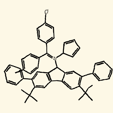 Cc1ccc([C](c2ccc(Cl)cc2)=[Zr]([CH]2C=CC=C2)[CH]2c3cc(-c4ccccc4)c(C(C)(C)C)cc3-c3cc(C(C)(C)C)c(-c4ccccc4)cc32)cc1